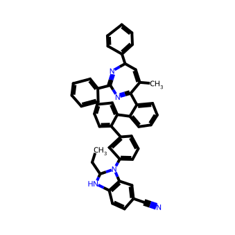 CCC1Nc2ccc(C#N)cc2N1c1cccc(-c2ccccc2-c2ccccc2C2=NC(c3ccccc3)=NC(c3ccccc3)C=C2C)c1